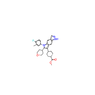 COC(=O)C1CCC(c2c(C3CCOCC3)n(-c3ccc(F)c(C)c3)c3cc4cn[nH]c4cc23)CC1